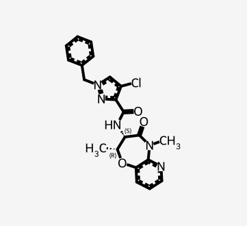 C[C@H]1Oc2cccnc2N(C)C(=O)[C@H]1NC(=O)c1nn(Cc2ccccc2)cc1Cl